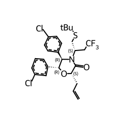 C=CC[C@@H]1O[C@H](c2cccc(Cl)c2)[C@@H](c2ccc(Cl)cc2)N([C@H](CSC(C)(C)C)CC(F)(F)F)C1=O